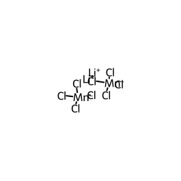 [Cl][Mn-]([Cl])([Cl])[Cl].[Cl][Mn-]([Cl])([Cl])[Cl].[Li+].[Li+]